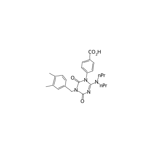 CCCN(CCC)c1nc(=O)n(Cc2ccc(C)c(C)c2)c(=O)n1-c1ccc(C(=O)O)cc1